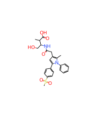 Cc1c(CC(=O)NC(CO)C(C)C(=O)O)cc(-c2ccc(S(C)(=O)=O)cc2)n1-c1ccccc1